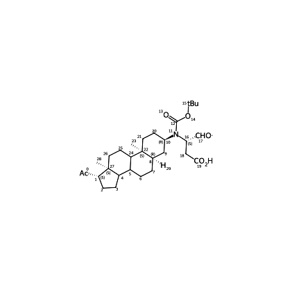 CC(=O)[C@H]1CCC2C3CC[C@@H]4C[C@H](N(C(=O)OC(C)(C)C)[C@H]([C]=O)CC(=O)O)CC[C@]4(C)C3CC[C@@]21C